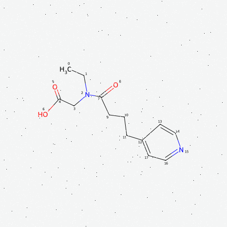 CCN(CC(=O)O)C(=O)CCCc1ccncc1